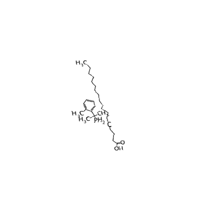 CCCCCCCCCCCCCCCCCC(=O)O.Cc1ccccc1C(C)(C)P